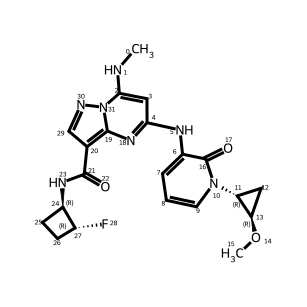 CNc1cc(Nc2cccn([C@@H]3C[C@H]3OC)c2=O)nc2c(C(=O)N[C@@H]3CC[C@H]3F)cnn12